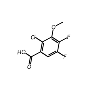 COc1c(F)c(F)cc(C(=O)O)c1Cl